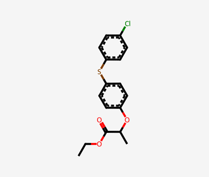 CCOC(=O)C(C)Oc1ccc(Sc2ccc(Cl)cc2)cc1